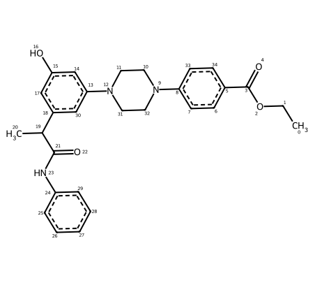 CCOC(=O)c1ccc(N2CCN(c3cc(O)cc(C(C)C(=O)Nc4ccccc4)c3)CC2)cc1